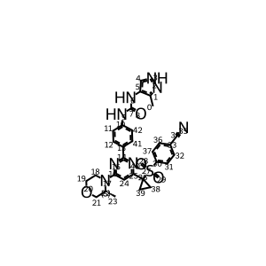 Cc1n[nH]cc1NC(=O)Nc1ccc(-c2nc(N3CCOC[C@@H]3C)cc(C3(S(=O)(=O)c4ccc(C#N)cc4)CC3)n2)cc1